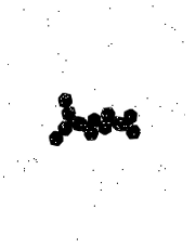 c1ccc(-c2ccc(N(c3ccc(-c4ccccc4)cc3)c3ccc(-n4c5ccccc5c5c(-c6cccc7c6c6ccccc6n7-c6ccc7c(c6)c6ccccc6n7-c6ccccc6)cccc54)cc3)cc2)cc1